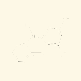 Cc1cc(C)cc(N(c2ccccc2C)C(C)C)c1